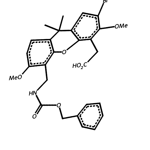 COc1ccc2c(c1CNC(=O)OCc1ccccc1)Oc1c(cc(Br)c(OC)c1CC(=O)O)C2(C)C